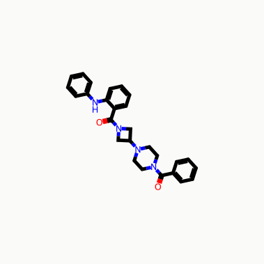 O=C(c1ccccc1)N1CCN(C2CN(C(=O)c3ccccc3Nc3ccccc3)C2)CC1